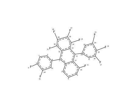 Fc1ccc(-c2c3cccc(F)c3c(-c3cc(F)c(F)c(F)c3)c3c(F)c(F)c(F)c(F)c23)cc1F